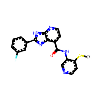 CCSc1ccncc1NC(=O)c1ccnc2[nH]c(-c3cccc(F)c3)nc12